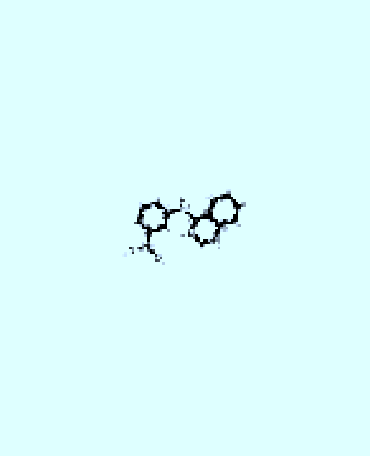 O=[N+]([O-])c1cccc(Nc2ncnc3ccccc23)c1